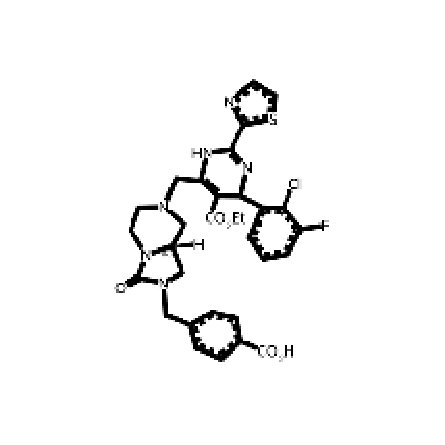 CCOC(=O)C1=C(CN2CCN3C(=O)N(Cc4ccc(C(=O)O)cc4)C[C@H]3C2)NC(c2nccs2)=NC1c1cccc(F)c1Cl